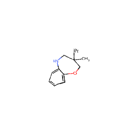 CC(C)C1(C)CNc2ccccc2OC1